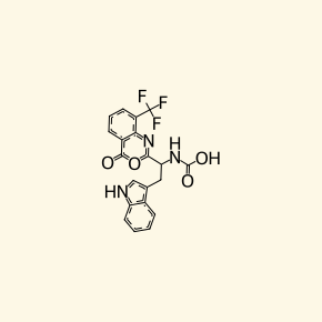 O=C(O)NC(Cc1c[nH]c2ccccc12)c1nc2c(C(F)(F)F)cccc2c(=O)o1